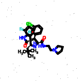 CC(C)(C)C[C@H]1N[C@@H](C(=O)NCCN2CCCC2)[C@H](c2cccc(Cl)c2F)[C@@]12C(=O)Nc1c2ccc(Cl)c1F